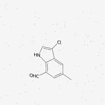 Cc1cc(C=O)c2[nH]cc(Cl)c2c1